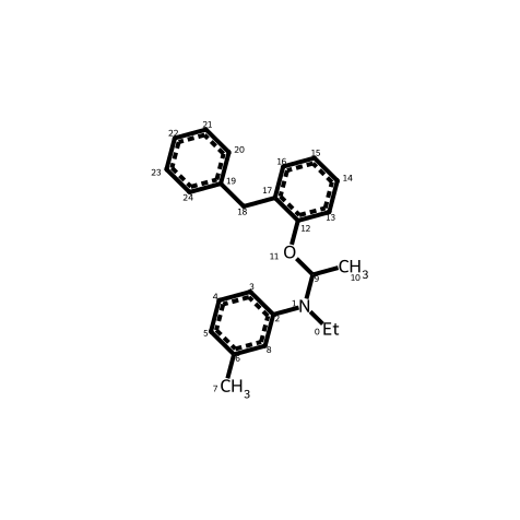 CCN(c1cccc(C)c1)C(C)Oc1ccccc1Cc1ccccc1